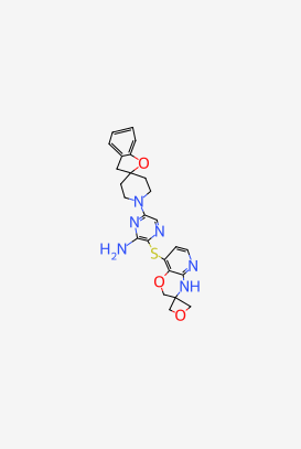 Nc1nc(N2CCC3(CC2)Cc2ccccc2O3)cnc1Sc1ccnc2c1OCC1(COC1)N2